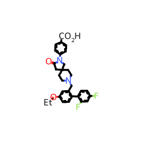 CCOc1ccc(-c2ccc(F)cc2F)c(CN2CCC3(CC2)CC(=O)N(c2ccc(C(=O)O)cc2)C3)c1